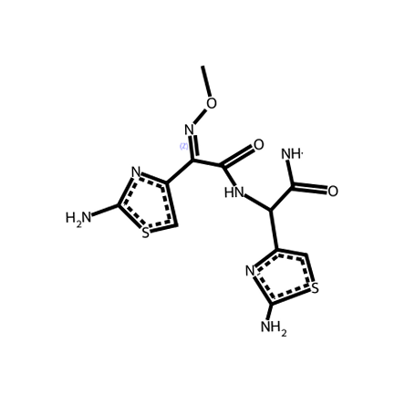 CO/N=C(\C(=O)NC(C([NH])=O)c1csc(N)n1)c1csc(N)n1